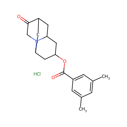 Cc1cc(C)cc(C(=O)OC2CC3CC4CC(C2)N3CC4=O)c1.Cl